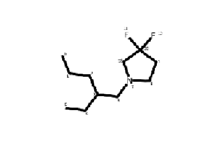 CCCC(CC)CN1CCC(F)(F)C1